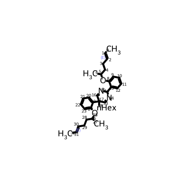 C/C=C/CCC(C)Oc1ccccc1C1N=CC(CCCCCC)(c2ccccc2OC(C)CC/C=C/C)C=N1